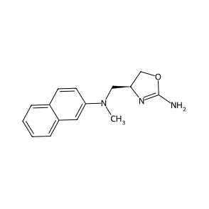 CN(C[C@H]1COC(N)=N1)c1ccc2ccccc2c1